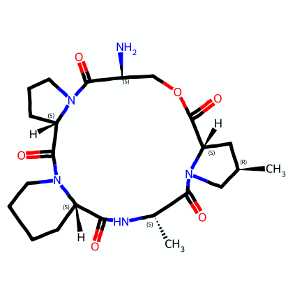 C[C@@H]1C[C@H]2C(=O)OC[C@H](N)C(=O)N3CCC[C@H]3C(=O)N3CCCC[C@H]3C(=O)N[C@@H](C)C(=O)N2C1